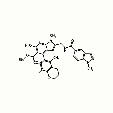 Cc1nc2c(cc(CNC(=O)c3ccc4c(cnn4C)c3)n2C)c(-c2cc(F)c3c(c2C)CCCO3)c1[C@H](OC(C)(C)C)C(=O)O